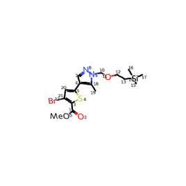 COC(=O)c1sc(-c2cnn(COCC[Si](C)(C)C)c2C)cc1Br